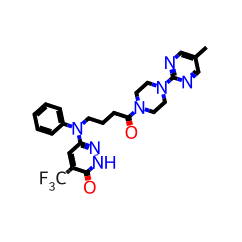 Cc1cnc(N2CCN(C(=O)CCCN(c3ccccc3)c3cc(C(F)(F)F)c(=O)[nH]n3)CC2)nc1